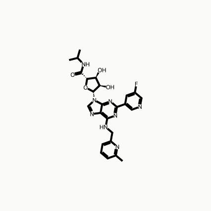 Cc1cccc(CNc2nc(-c3cncc(F)c3)nc3c2ncn3[C@@H]2O[C@H](C(=O)NC(C)C)[C@@H](O)[C@H]2O)n1